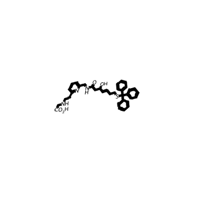 O=C(O)CNCCc1cccc(CNC(=O)CC(O)C=CCCSC(c2ccccc2)(c2ccccc2)c2ccccc2)n1